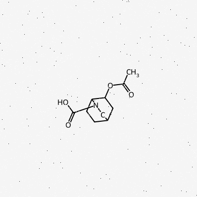 CC(=O)OC1CC2CCC1N(C(=O)O)C2